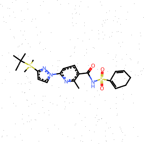 Cc1nc(-n2ccc(S(C)(C)C(C)(C)C)n2)ccc1C(=O)NS(=O)(=O)C1=CCCC=C1